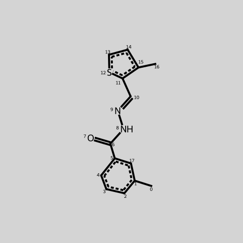 Cc1cccc(C(=O)N/N=C/c2sccc2C)c1